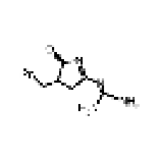 CC(C)C[C@@H]1CC(N=C(N)N)=NC1=O